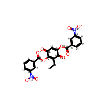 CCC1=C(OC(=O)c2cccc([N+](=O)[O-])c2)C(=O)C=C(OC(=O)c2cccc([N+](=O)[O-])c2)C1=O